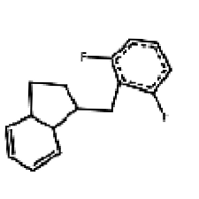 Fc1cccc(F)c1CC1CCC2C=CC=CC21